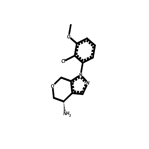 COc1cccc(-n2ncc3c2COC[C@H]3N)c1Cl